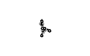 Cc1ccc(S(=O)(=O)ON=C2CCCc3c2ccc(OCc2ccccc2)c3N(C)C(=O)OCc2ccccc2)cc1